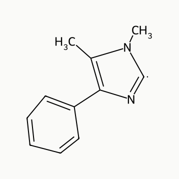 Cc1c(-c2ccccc2)n[c]n1C